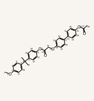 COc1ccc(C(C)(C)c2ccc(OC(=O)COc3ccc(-c4ccc(OC(C)=O)cc4)cc3)cc2)cc1